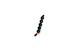 C=CC1CCC(C2CCC(c3ccc(-c4ccc(-c5ccc(OC/C=C/C)c(F)c5F)cc4)c(F)c3)CC2)CC1